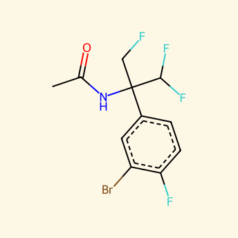 CC(=O)NC(CF)(c1ccc(F)c(Br)c1)C(F)F